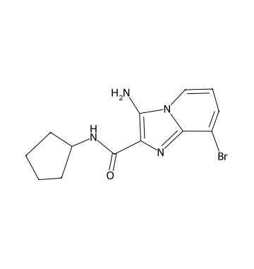 Nc1c(C(=O)NC2CCCC2)nc2c(Br)cccn12